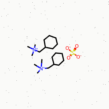 C[N+](C)(C)CC1CCCCC1.C[N+](C)(C)CC1CCCCC1.O=S(=O)([O-])[O-]